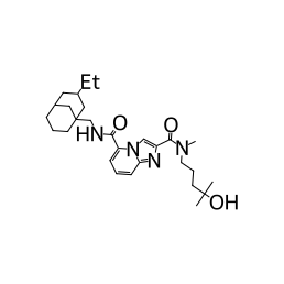 CCC1CC2CCCC(CNC(=O)c3cccc4nc(C(=O)N(C)CCCC(C)(C)O)cn34)(C1)C2